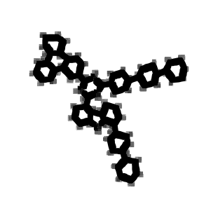 c1ccc(-c2ccc(-c3ccc(-c4nc(-c5ccc6c7ccccc7c7ccccc7c6c5)nc(-c5cccc6oc7c(-c8ccc(-c9ccccc9)cc8)cccc7c56)n4)cc3)cc2)cc1